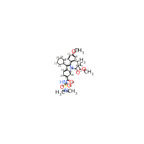 COC(=O)C1(C)Cc2cc(OC)ccc2-c2c(C3CCCCC3)c3ccc(C(=O)NS(=O)(=O)N(C)C)cc3n2C1